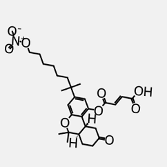 CC(C)(CCCCCCO[N+](=O)[O-])c1cc(OC(=O)/C=C/C(=O)O)c2c(c1)OC(C)(C)[C@@H]1CCC(=O)C[C@@H]21